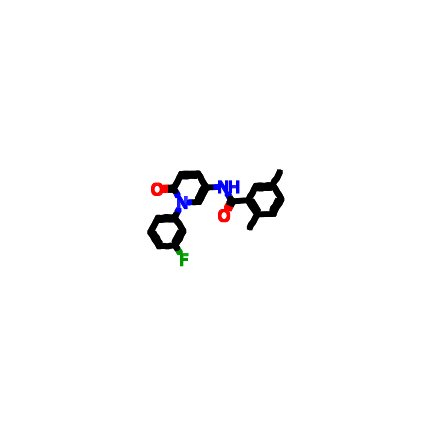 Cc1ccc(C)c(C(=O)Nc2ccc(=O)n(-c3cccc(F)c3)c2)c1